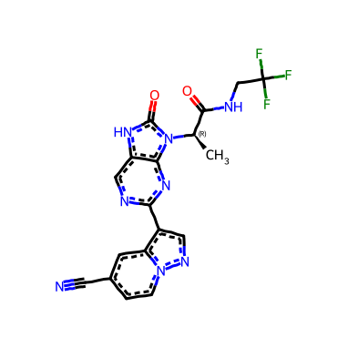 C[C@H](C(=O)NCC(F)(F)F)n1c(=O)[nH]c2cnc(-c3cnn4ccc(C#N)cc34)nc21